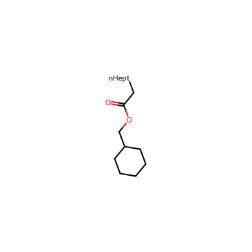 [CH2]CCCCCCCC(=O)OCC1CCCCC1